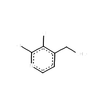 O=CCc1ccnc(Cl)c1Cl